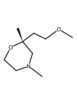 COCC[C@]1(C)CN(C)CCO1